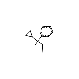 CCC(F)(c1ccccn1)C1CC1